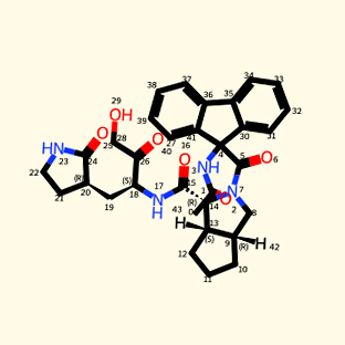 CC(=O)NC1(C(=O)N2C[C@@H]3CCC[C@@H]3[C@@H]2C(=O)N[C@@H](C[C@H]2CCNC2=O)C(=O)CO)c2ccccc2-c2ccccc21